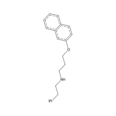 CC(C)CCNCCCOc1ccc2ccccc2c1